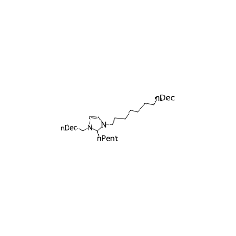 CCCCCCCCCCCCCCCCCN1C=CN(CCCCCCCCCCC)C1CCCCC